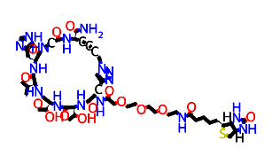 CC(C)[C@H]1NC(=O)[C@@H](C(C)O)NC(=O)[C@@H](C(C)O)NC(=O)[C@@H](NC(=O)COCCOCCOCCNC(=O)CCCC[C@H]2SC[C@H]3NC(=O)N[C@H]32)Cc2cn(nn2)CCCC[C@@H](C(N)=O)NC(=O)CNC(=O)[C@@H](Cc2c[nH]cn2)NC1=O